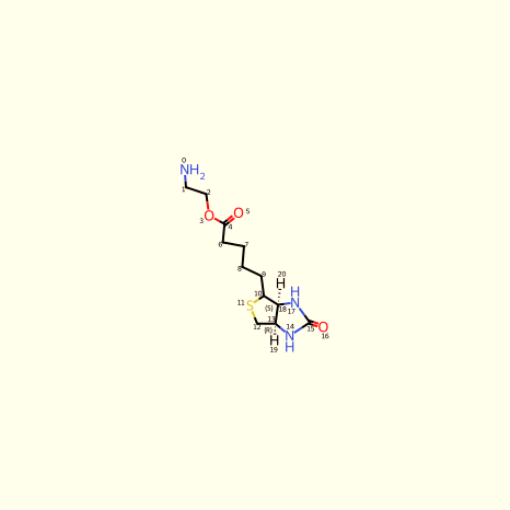 NCCOC(=O)CCCCC1SC[C@@H]2NC(=O)N[C@H]12